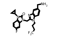 NCc1ccc2c(c1)nc(Cn1c(=O)n(C3CC3)c3ccc(F)cc31)n2CCCC(F)(F)F